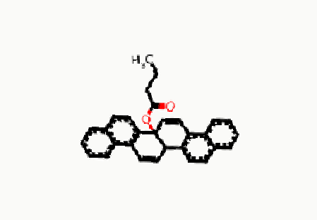 CCCC(=O)OC12C=Cc3c(ccc4ccccc34)C1C=Cc1c2ccc2ccccc12